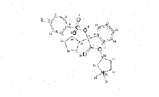 Cc1ccc(S(=O)(=O)OC(C(=O)OC2CC[N+](C)(C)C2)(c2ccccc2)C2CCCC2)cc1